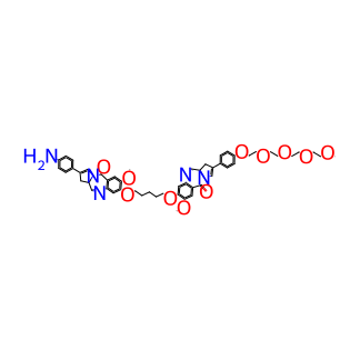 COCCOCCOCCOCCOc1ccc(C2=CN3C(=O)c4cc(OC)c(OCCCCCOc5cc6c(cc5OC)C(=O)N5C=C(c7ccc(N)cc7)CC5C=N6)cc4N=CC3C2)cc1